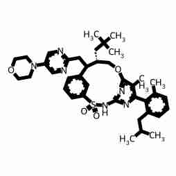 Cc1cccc(CC(C)C)c1-c1nc2nc(c1C)OC[C@@H](CC(C)(C)C)C(Cc1ncc(N3CCOCC3)cn1)c1cccc(c1)S(=O)(=O)N2